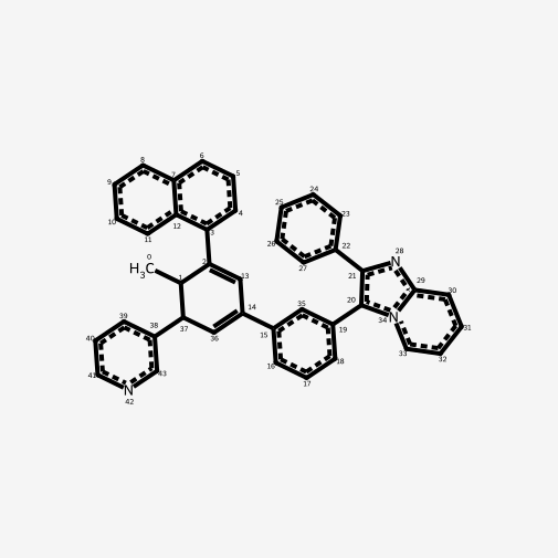 CC1C(c2cccc3ccccc23)=CC(c2cccc(-c3c(-c4ccccc4)nc4ccccn34)c2)=CC1c1cccnc1